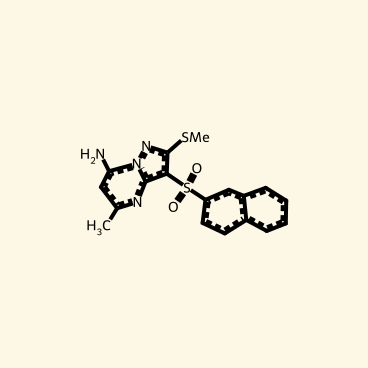 CSc1nn2c(N)cc(C)nc2c1S(=O)(=O)c1ccc2ccccc2c1